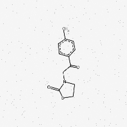 Cc1ccc(C(=O)CN2CCOC2=O)cc1